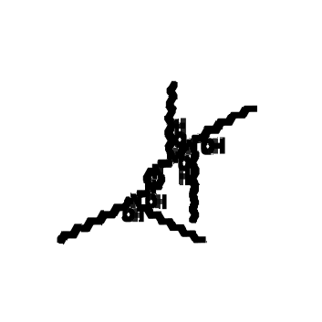 CCCCCCCCCCC(O)CN(CCN1CCN(CCN(CCN(CC(O)CCCCCCCC)CC(O)CCCCCCCC)CC(O)CCCCCCCC)CC1)CC(O)CCCCCCCCCC